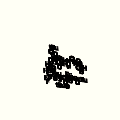 CC(C)(C)C(=O)OCOP(=O)(OCOC(=O)C(C)(C)C)C(F)(F)c1ccc2sc(C(=O)N[C@H]3CN(CC(F)F)CC[C@H]4CC[C@@H](C(=O)N[C@@H](CCC(N)=O)C(=O)N[C@@H](Cc5ccc(C(C)(C)C)cc5)C(=O)N5CCN(CCNc6cccc7c6CN(C6CCC(=O)NC6=O)C7=O)CC5)N4C3=O)cc2c1